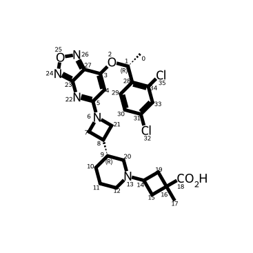 C[C@@H](Oc1cc(N2CC([C@H]3CCCN(C4CC(C)(C(=O)O)C4)C3)C2)nc2nonc12)c1ccc(Cl)cc1Cl